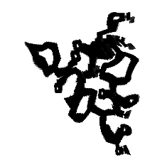 CCCNC(=O)NN(c1cccc(C(CC(=O)O)NS(=O)(=O)c2ccc(N)cc2)c1)S(=O)(=O)c1ccccc1